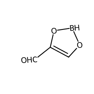 O=CC1=COBO1